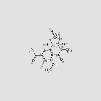 COc1c2n(cc(C(=O)O)c1=O)[C@H]1C[C@@H]3CC3[C@H]1N(C)C2=O